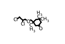 CC1(C)CC(=O)CC(C)(COCC(Cl)CCl)C1